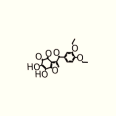 CCOc1ccc(C(=O)c2coc3c2C(=O)C(=O)C(O)=C3O)cc1OCC